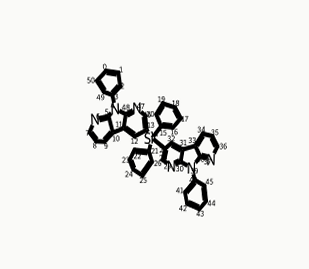 c1ccc(-n2c3ncccc3c3cc([Si](c4ccccc4)(c4ccccc4)c4cnc5c(c4)c4cccnc4n5-c4ccccc4)cnc32)cc1